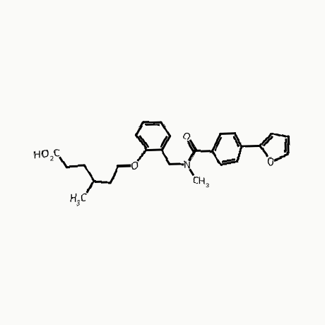 CC(CCOc1ccccc1CN(C)C(=O)c1ccc(-c2ccco2)cc1)CCC(=O)O